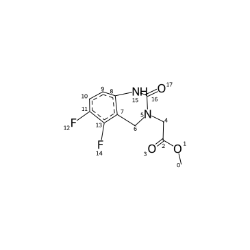 COC(=O)CN1Cc2c(ccc(F)c2F)NC1=O